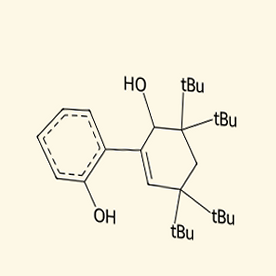 CC(C)(C)C1(C(C)(C)C)C=C(c2ccccc2O)C(O)C(C(C)(C)C)(C(C)(C)C)C1